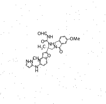 COc1ccc2c(c1)C(=O)N(C[C@](C)(NC(=O)NC=O)c1cc3nc(Nc4ccnn4C)ccc3o1)C2